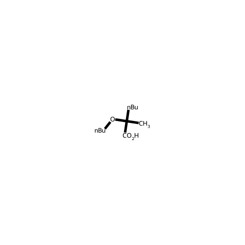 CCCCOC(C)(CCCC)C(=O)O